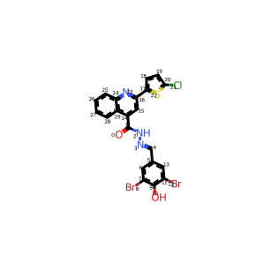 O=C(NN=Cc1cc(Br)c(O)c(Br)c1)c1cc(-c2ccc(Cl)s2)nc2ccccc12